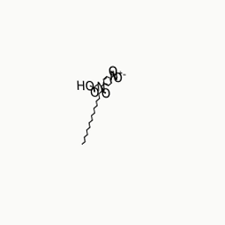 CCCCCCCCCCCCCCCC(=O)N(CC(=O)O)c1ccc([N+](=O)[O-])cc1